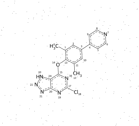 Cc1cc(-c2ccncc2)cc(C)c1Oc1nc(Cl)nc2nn[nH]c12